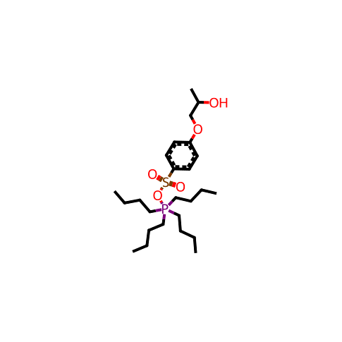 CCCCP(CCCC)(CCCC)(CCCC)OS(=O)(=O)c1ccc(OCC(C)O)cc1